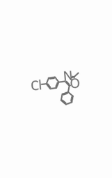 Cc1nc(-c2ccc(Cl)cc2)c(-c2ccccc2)o1